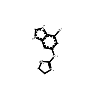 Brc1cc(NC2=NCCN2)cc2ncsc12